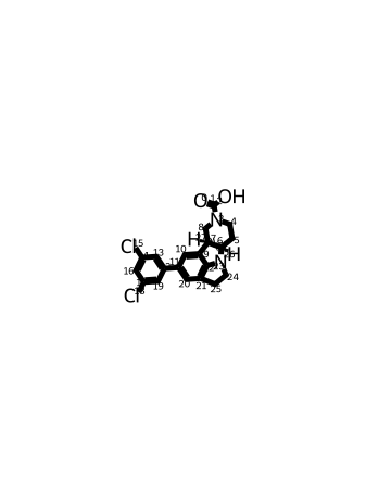 O=C(O)N1CC[C@H]2[C@@H](C1)c1cc(-c3cc(Cl)cc(Cl)c3)cc3c1N2CC3